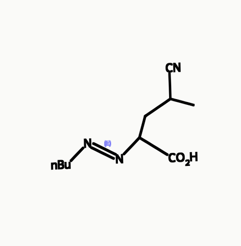 CCCC/N=N/C(CC(C)C#N)C(=O)O